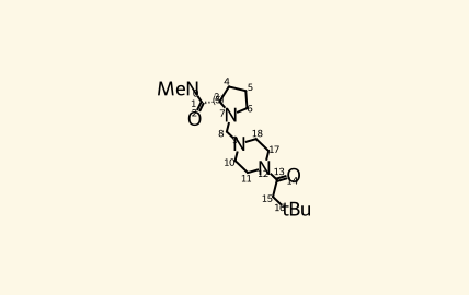 CNC(=O)[C@@H]1CCCN1CN1CCN(C(=O)CC(C)(C)C)CC1